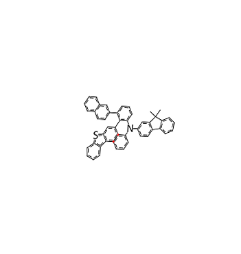 CC1(C)c2ccccc2-c2ccc(N(c3ccccc3)c3cccc(-c4ccc5ccccc5c4)c3-c3ccc4c(c3)sc3ccccc34)cc21